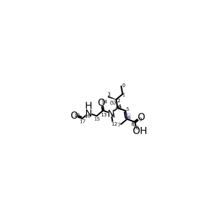 CC[C@H](C)[C@@H](/C=C(\C)C(=O)O)N(C)C(=O)CNC=O